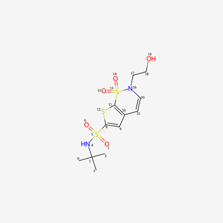 CC(C)(C)NS(=O)(=O)c1cc2c(s1)S(=O)(=O)N(CCO)C=C2